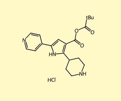 CC(C)(C)C(=O)OC(=O)c1cc(-c2ccncc2)[nH]c1C1CCNCC1.Cl